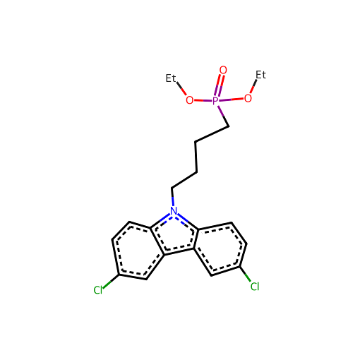 CCOP(=O)(CCCCn1c2ccc(Cl)cc2c2cc(Cl)ccc21)OCC